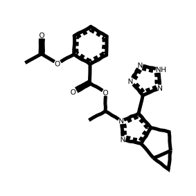 CC(=O)Oc1ccccc1C(=O)OC(C)n1nc2c(c1-c1nn[nH]n1)CC1CC21